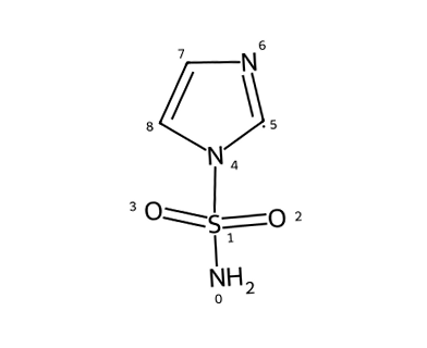 NS(=O)(=O)n1[c]ncc1